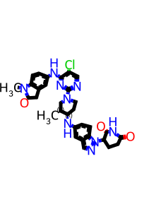 C[C@@H]1CN(c2ncc(Cl)c(Nc3ccc4c(c3)CC(=O)N4C)n2)CC[C@H]1Nc1ccc2c(cnn2C2CCC(=O)NC2=O)c1